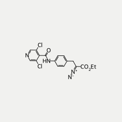 CCOC(=O)C(Cc1ccc(NC(=O)c2c(Cl)cncc2Cl)cc1)=[N+]=[N-]